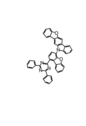 c1ccc(-c2nc(-c3ccccc3)nc(-c3ccc(-n4c5ccccc5c5cc6oc7ccccc7c6cc54)c4oc5ccccc5c34)n2)cc1